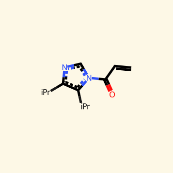 C=CC(=O)n1cnc(C(C)C)c1C(C)C